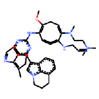 C=CCNC1=C=C/C(Nc2ncc(C3=C(/C)CC/C=C/C=N\3)c(-c3cn4c5c(cccc35)CCC4)n2)=C(/OC)C/C=C\1N(C)CCN(C)C